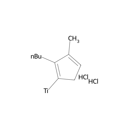 CCCCC1=[C]([Ti])CC=C1C.Cl.Cl